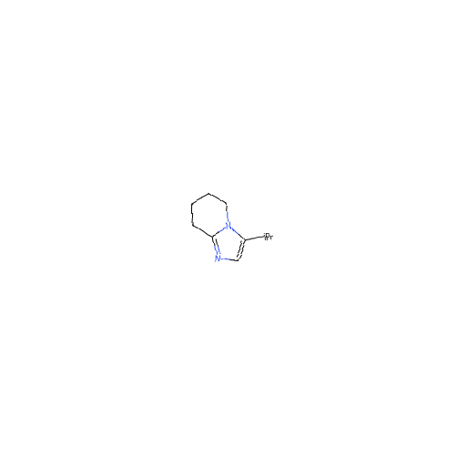 CC(C)c1cnc2n1CCCC2